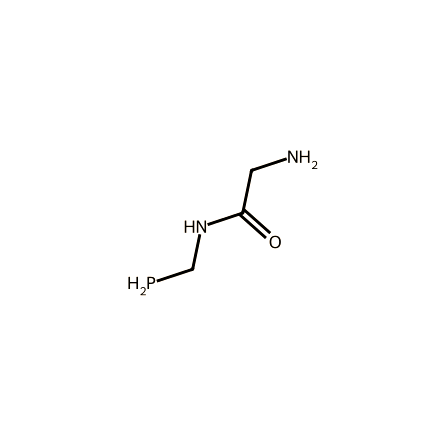 NCC(=O)NCP